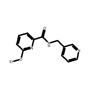 CCOc1cccc(C(=O)NCc2cccnc2)n1